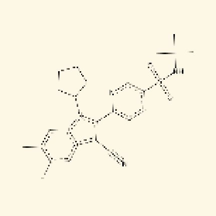 Cc1cc2c(cc1F)c(C#N)c(-c1ccc(S(=O)(=O)NC(C)(C)C)cn1)n2C1CCCC1